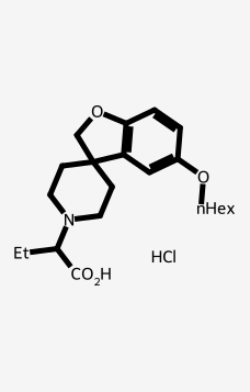 CCCCCCOc1ccc2c(c1)C1(CCN(C(CC)C(=O)O)CC1)CO2.Cl